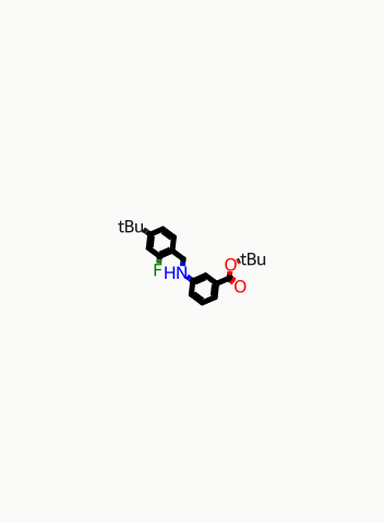 CC(C)(C)OC(=O)c1cccc(NCc2ccc(C(C)(C)C)cc2F)c1